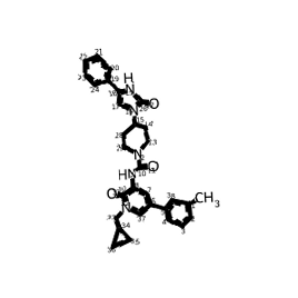 Cc1cccc(-c2cc(NC(=O)N3CCC(n4cc(-c5ccccc5)[nH]c4=O)CC3)c(=O)n(CC3CC3)c2)c1